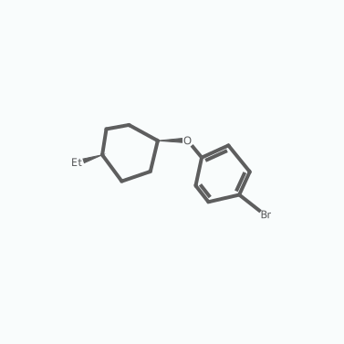 CC[C@H]1CC[C@@H](Oc2ccc(Br)cc2)CC1